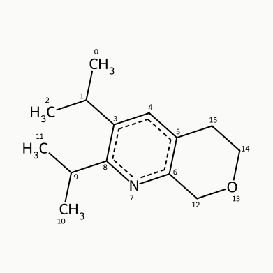 CC(C)c1cc2c(nc1C(C)C)COCC2